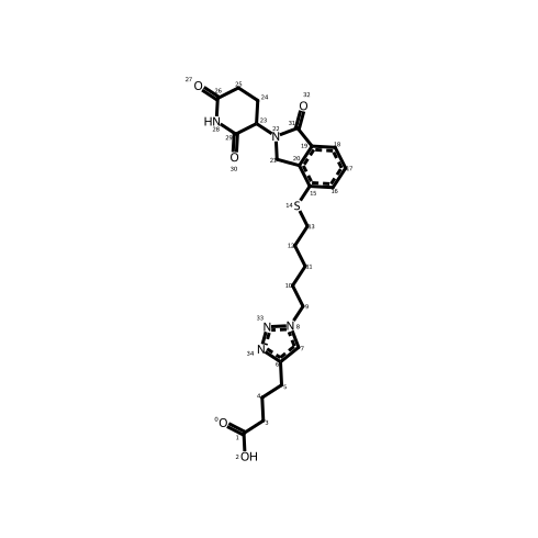 O=C(O)CCCc1cn(CCCCCSc2cccc3c2CN(C2CCC(=O)NC2=O)C3=O)nn1